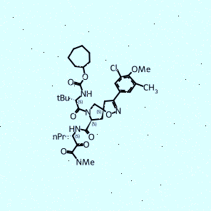 CCC[C@H](NC(=O)[C@@H]1C[C@]2(CC(c3cc(C)c(OC)c(Cl)c3)=NO2)CN1C(=O)[C@@H](NC(=O)OC1CCCCCC1)C(C)(C)C)C(=O)C(=O)NC